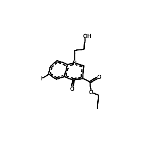 CCOC(=O)c1cn(CCO)c2ccc(I)cc2c1=O